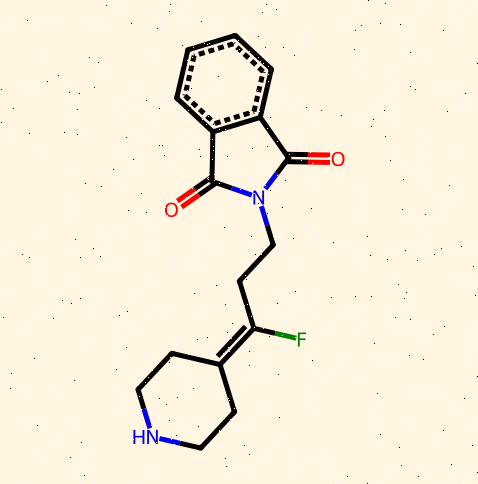 O=C1c2ccccc2C(=O)N1CCC(F)=C1CCNCC1